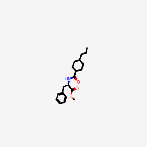 CCCC1CCC(C(=O)N[C@H](Cc2ccccc2)C(=O)OC)CC1